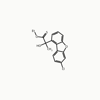 CCOC(=S)C(C)(O)c1cccc2oc3cc(Cl)ccc3c12